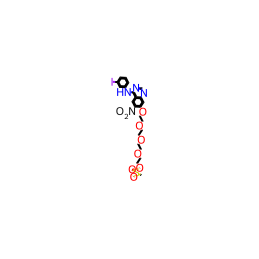 CS(=O)(=O)OCCOCCOCCOCCOc1cc2ncnc(Nc3cccc(I)c3)c2cc1[N+](=O)[O-]